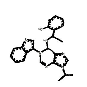 CC(NC1c2ncn(C(C)C)c2N=CN1c1csc2ccccc12)c1ccccc1O